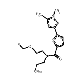 COCCN(CCOCF)C(=O)c1ccc(-c2cc(C(F)(F)F)n(C)n2)s1